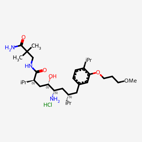 COCCCOc1cc(C[C@@H](C[C@H](N)[C@@H](O)C[C@H](C(=O)NCC(C)(C)C(N)=O)C(C)C)C(C)C)ccc1C(C)C.Cl